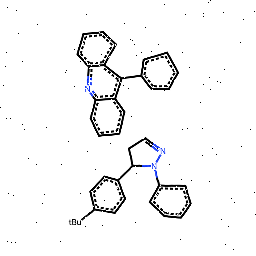 CC(C)(C)c1ccc(C2CC=NN2c2ccccc2)cc1.c1ccc(-c2c3ccccc3nc3ccccc23)cc1